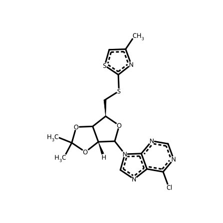 Cc1csc(SC[C@H]2OC(n3cnc4c(Cl)ncnc43)[C@@H]3OC(C)(C)OC32)n1